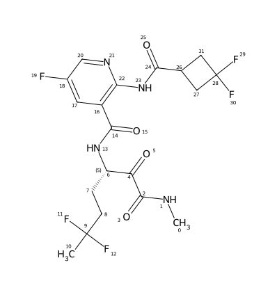 CNC(=O)C(=O)[C@H](CCC(C)(F)F)NC(=O)c1cc(F)cnc1NC(=O)C1CC(F)(F)C1